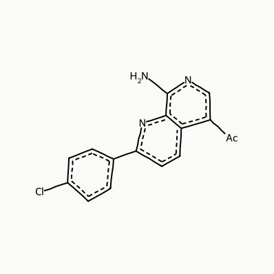 CC(=O)c1cnc(N)c2nc(-c3ccc(Cl)cc3)ccc12